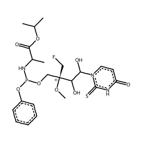 CO[C@](CF)(COP(NC(C)C(=O)OC(C)C)Oc1ccccc1)C(O)C(O)n1ccc(=O)[nH]c1=S